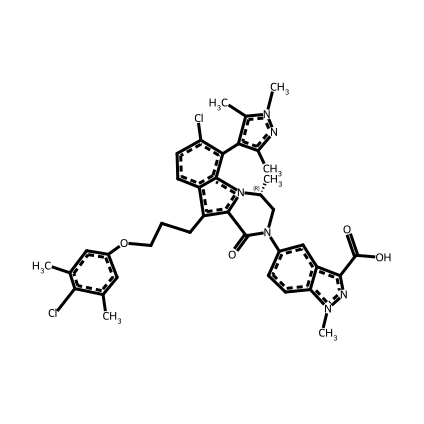 Cc1cc(OCCCc2c3n(c4c(-c5c(C)nn(C)c5C)c(Cl)ccc24)[C@H](C)CN(c2ccc4c(c2)c(C(=O)O)nn4C)C3=O)cc(C)c1Cl